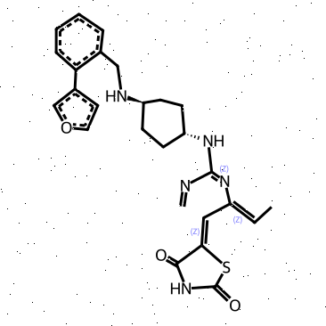 C=N\C(=N/C(=C\C)/C=C1\SC(=O)NC1=O)N[C@H]1CC[C@H](NCc2ccccc2-c2ccoc2)CC1